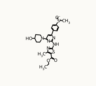 CCOC(=O)c1sc(Nc2nc(-c3ccc([S+](C)[O-])cc3)cc(N3CCC(O)CC3)n2)nc1C